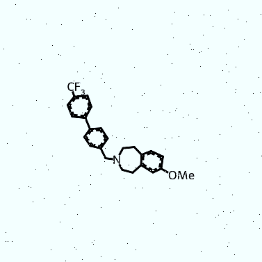 COc1ccc2c(c1)CCN(Cc1ccc(-c3ccc(C(F)(F)F)cc3)cc1)CC2